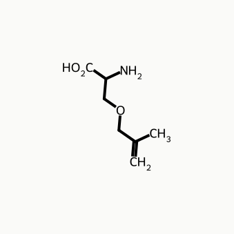 C=C(C)COCC(N)C(=O)O